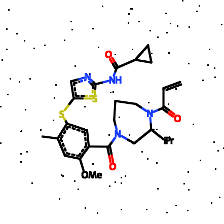 C=CC(=O)N1CCCN(C(=O)c2cc(Sc3cnc(NC(=O)C4CC4)s3)c(C)cc2OC)CC1C(C)C